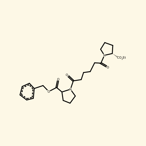 CCOC(=O)[C@H]1CCCN1C(=O)CCCCC(=O)N1CCCC1C(=O)OCc1ccccc1